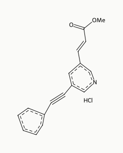 COC(=O)C=Cc1cncc(C#Cc2ccccc2)c1.Cl